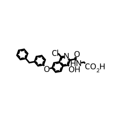 O=C(O)CNC(=O)c1nc(Cl)c2cc(Oc3cccc(Cc4ccccc4)c3)ccc2c1O